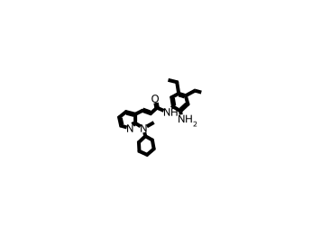 CCc1cc(N)c(NC(=O)/C=C/c2cccnc2N(C)C2CCCCC2)cc1CC